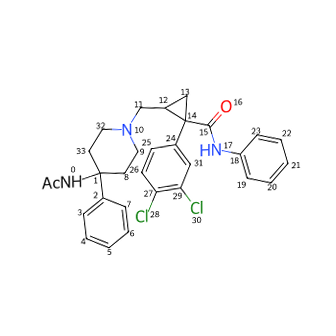 CC(=O)NC1(c2ccccc2)CCN(CC2CC2(C(=O)Nc2ccccc2)c2ccc(Cl)c(Cl)c2)CC1